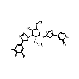 CO[C@@H]1[C@@H](n2cc(-c3cc(F)c(F)c(F)c3)nn2)[C@@H](O)[C@@H](CO)O[C@@H]1CC1CC(c2cc[nH]c(=O)c2)=NO1